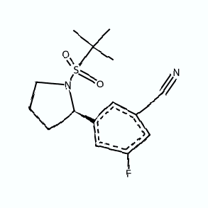 CC(C)(C)S(=O)(=O)N1CCC[C@@H]1c1cc(F)cc(C#N)c1